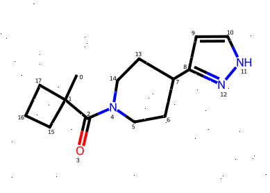 CC1(C(=O)N2CCC(c3cc[nH]n3)CC2)CCC1